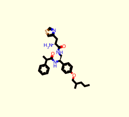 CCCC(C)COc1ccc([C@H](CNC(=O)[C@H](N)Cc2cscn2)NC(=O)C(C)c2ccccc2)cc1